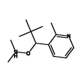 Cc1ncccc1C(O[SiH](C)C)C(C)(C)C